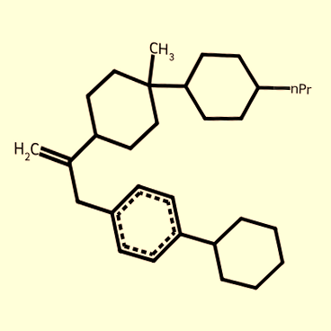 C=C(Cc1ccc(C2CCCCC2)cc1)C1CCC(C)(C2CCC(CCC)CC2)CC1